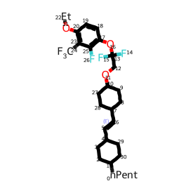 CCCCCC1CCC(/C=C/C2CCC(OCC(F)(F)Oc3ccc(OCC)c(C(F)(F)F)c3F)CC2)CC1